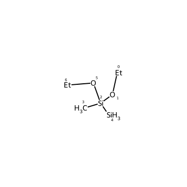 CCO[Si](C)([SiH3])OCC